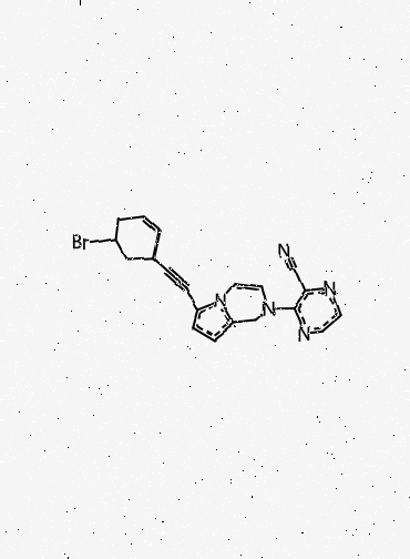 N#Cc1nccnc1N1C=Cn2c(C#CC3C=CCC(Br)C3)ccc2C1